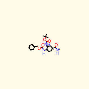 CNC(=O)[C@H]1CC[C@H](NC(=O)OCc2ccccc2)[C@H](NC(=O)OC(C)(C)C)C1